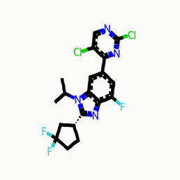 CC(C)n1c([C@@H]2CCC(F)(F)C2)nc2c(F)cc(-c3nc(Cl)ncc3Cl)cc21